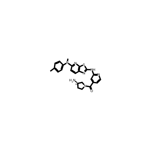 Cc1ccc(N(C)c2ccc3nc(Nc4cc(C(=O)N5CC[C@@H](N)C5)ccn4)sc3n2)cc1